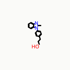 Cc1nc2ccccc2n1-c1ccc(CCCO)cc1